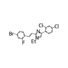 CCn1cc(-c2ccc(Cl)cc2Cl)nc1/C=C/c1ccc(Br)cc1F